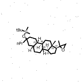 CCCC1(O[Si](C)(C)C(C)(C)C)CC[C@H]2[C@H](CC[C@@H]3[C@@H]2CC[C@]2(C)[C@@H](C4(C)CO4)CC[C@@H]32)C1